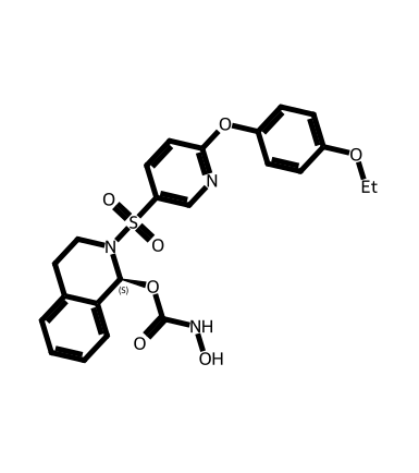 CCOc1ccc(Oc2ccc(S(=O)(=O)N3CCc4ccccc4[C@@H]3OC(=O)NO)cn2)cc1